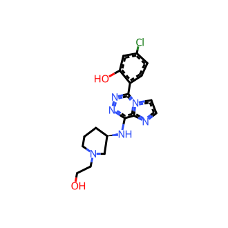 OCCN1CCC[C@@H](Nc2nnc(-c3ccc(Cl)cc3O)n3ccnc23)C1